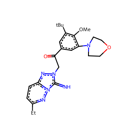 CCc1ccc2nn(CC(=O)c3cc(N4CCOCC4)c(OC)c(C(C)(C)C)c3)c(=N)n2n1